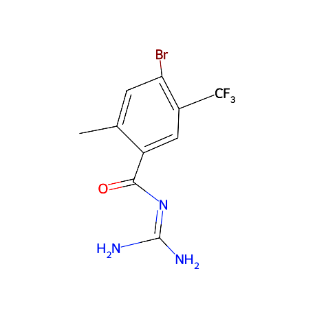 Cc1cc(Br)c(C(F)(F)F)cc1C(=O)N=C(N)N